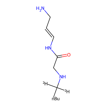 [2H]C([2H])(CCCC)NCC(=O)NC=CCN